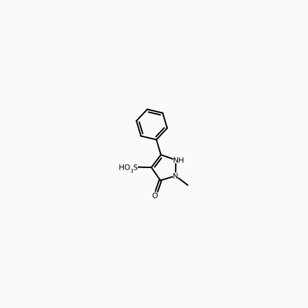 Cn1[nH]c(-c2ccccc2)c(S(=O)(=O)O)c1=O